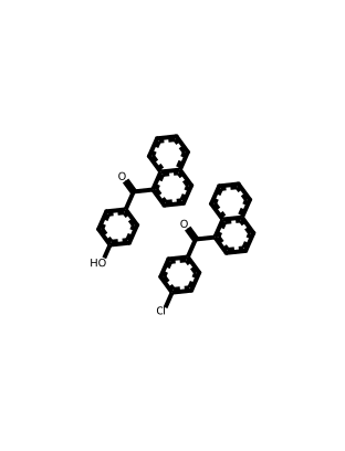 O=C(c1ccc(Cl)cc1)c1cccc2ccccc12.O=C(c1ccc(O)cc1)c1cccc2ccccc12